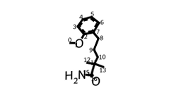 COc1ccccc1CCCC(C)(C)C(N)=O